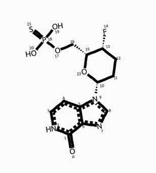 O=c1[nH]ccc2c1ncn2[C@H]1CC[C@@H](F)[C@@H](COP(O)(O)=S)O1